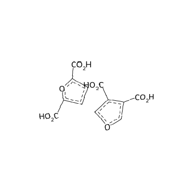 O=C(O)c1ccc(C(=O)O)o1.O=C(O)c1cocc1C(=O)O